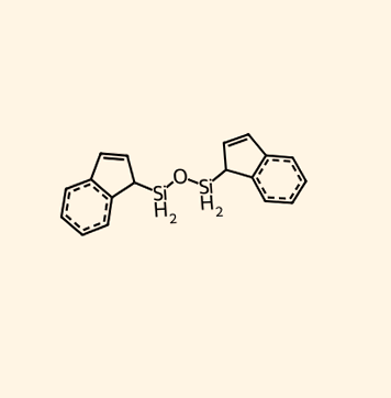 C1=CC([SiH2]O[SiH2]C2C=Cc3ccccc32)c2ccccc21